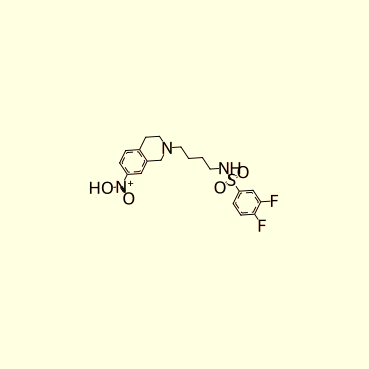 O=[N+](O)c1ccc2c(c1)CN(CCCCNS(=O)(=O)c1ccc(F)c(F)c1)CC2